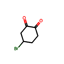 O=C1CCC(Br)CC1=O